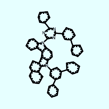 c1ccc(-c2cccc(-c3nc(-c4ccccc4)nc(-n4c5ccccc5c5c6c7ccc8ccccc8c7n(-c7cc(-c8ccccc8)cc(-c8ccccc8)c7)c6ccc54)n3)c2)cc1